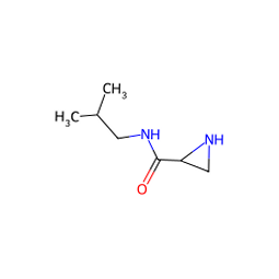 CC(C)CNC(=O)C1CN1